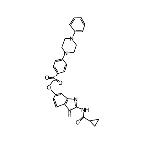 O=C(Nc1nc2cc(OS(=O)(=O)c3ccc(N4CCN(c5ccccc5)CC4)cc3)ccc2[nH]1)C1CC1